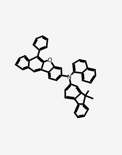 CC1(C)c2ccccc2-c2ccc(N(c3ccc4c(c3)oc3c(-c5ccccc5)c5ccccc5cc34)c3cccc4ccccc34)cc21